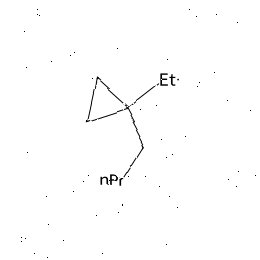 C[CH]C1(CCCC)CC1